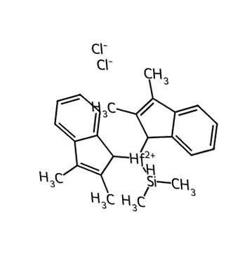 CC1=C(C)[CH]([Hf+2]([CH]2C(C)=C(C)c3ccccc32)[SiH](C)C)c2ccccc21.[Cl-].[Cl-]